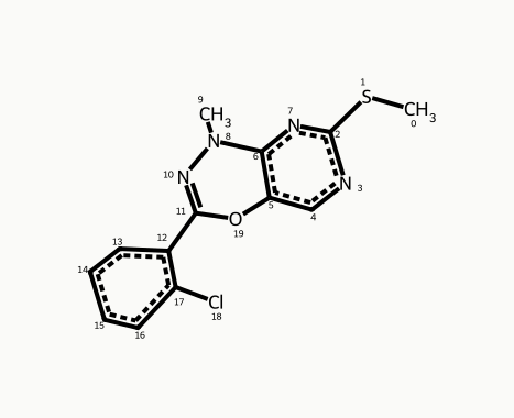 CSc1ncc2c(n1)N(C)N=C(c1ccccc1Cl)O2